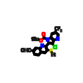 CCSc1cc2ccc(C=O)cc2nc1-c1c(Cl)c2ncc(C(F)(F)F)cc2n1C(=O)OC(C)(C)C